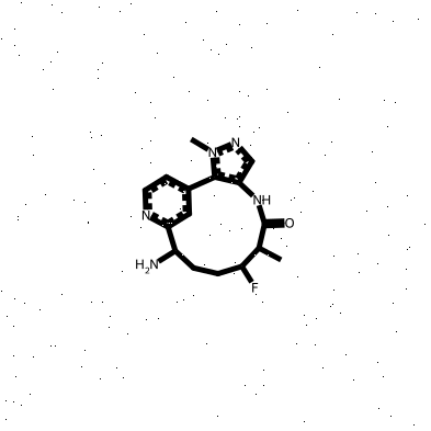 CC1C(=O)Nc2cnn(C)c2-c2ccnc(c2)C(N)CCC1F